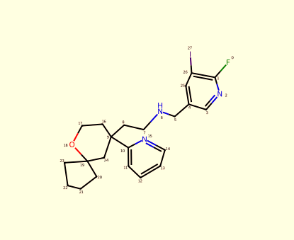 Fc1ncc(CNCCC2(c3ccccn3)CCOC3(CCCC3)C2)cc1I